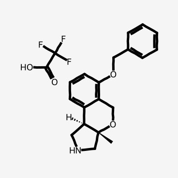 C[C@@]12CNC[C@H]1c1cccc(OCc3ccccc3)c1CO2.O=C(O)C(F)(F)F